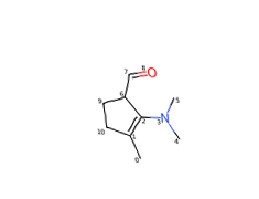 CC1=C(N(C)C)C(C=O)CC1